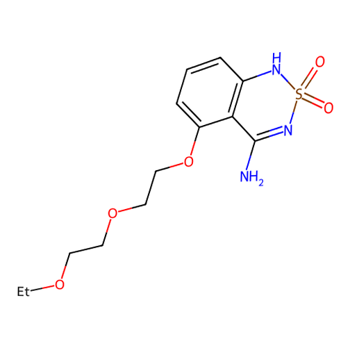 CCOCCOCCOc1cccc2c1C(N)=NS(=O)(=O)N2